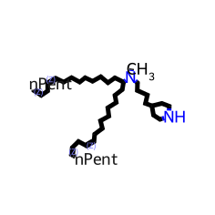 CCCCC/C=C\C/C=C\CCCCCCCCC(CCCCCCCC/C=C\C/C=C\CCCCC)N(C)CCCCC1CCNCC1